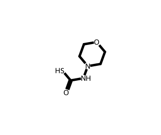 O=C(S)NN1CCOCC1